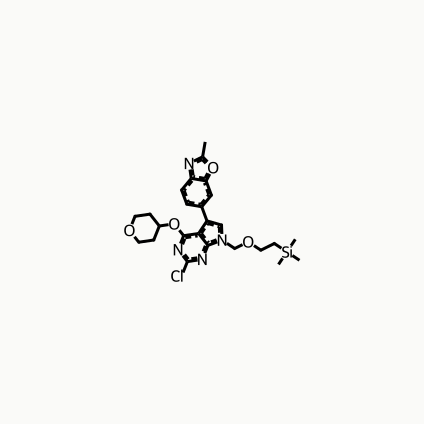 Cc1nc2ccc(-c3cn(COCC[Si](C)(C)C)c4nc(Cl)nc(OC5CCOCC5)c34)cc2o1